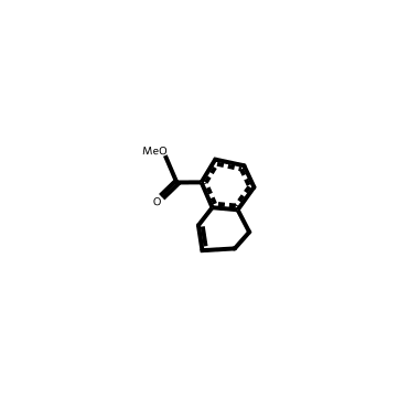 COC(=O)c1cccc2c1C=CCC2